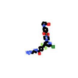 NCCCNC(=O)[C@H]1CC[C@@H](C(F)(F)c2cc(Cl)nc(N3CCN(S(=O)(=O)c4ccc(N5CCCC5=O)cc4)CC3)c2)CC1